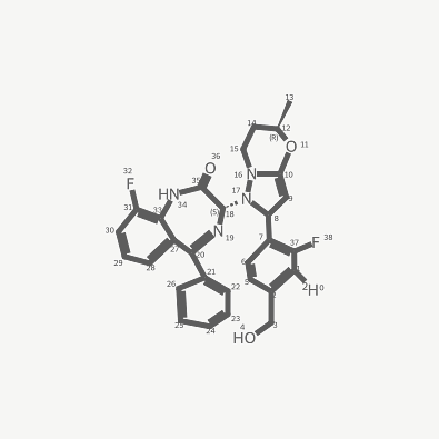 [2H]c1c(CO)ccc(C2C=C3O[C@H](C)CCN3N2[C@@H]2N=C(c3ccccc3)c3cccc(F)c3NC2=O)c1F